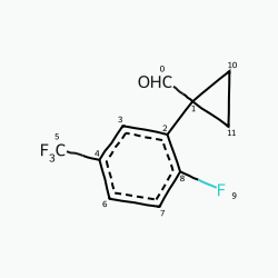 O=CC1(c2cc(C(F)(F)F)ccc2F)CC1